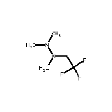 CN(C)N(C)CC(F)(F)F